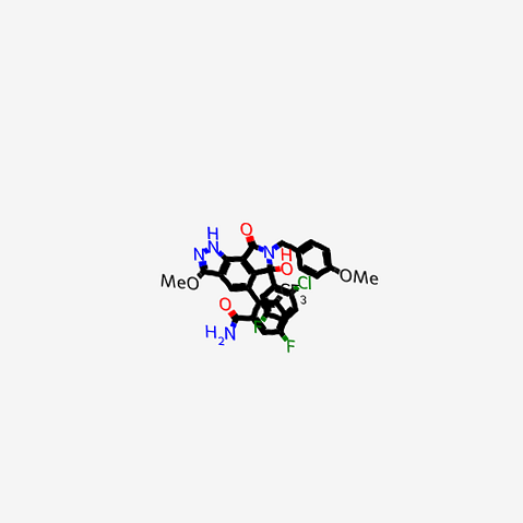 COc1ccc(CN2C(=O)c3c(c(-c4c(C(N)=O)cc(F)cc4C(F)(F)F)cc4c(OC)n[nH]c34)C2(O)c2cc(F)ccc2Cl)cc1